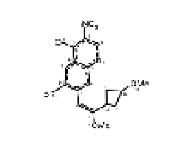 CO/C(=C/c1cc2ncc([N+](=O)[O-])c(Cl)c2cc1Br)C1CC(OC)C1